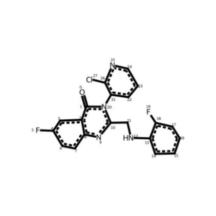 O=c1c2cc(F)ccc2nc(CNc2ccccc2F)n1-c1cccnc1Cl